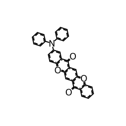 O=c1c2ccccc2oc2cc3c(=O)c4cc(N(c5ccccc5)c5ccccc5)ccc4oc3cc12